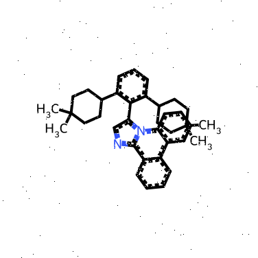 CC1(C)CCC(c2cccc(C3CCC(C)(C)CC3)c2-c2cnc3c4ccccc4c4ccccc4n23)CC1